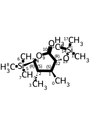 C[C@H]1[C@H](C)[C@@H]([Si](C)(C)C)OC(=O)[C@@H]1O[Si](C)(C)C